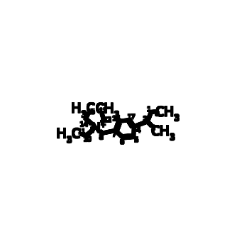 CCC(C)c1ccc(C[N+](CC)(CC)CC)cc1